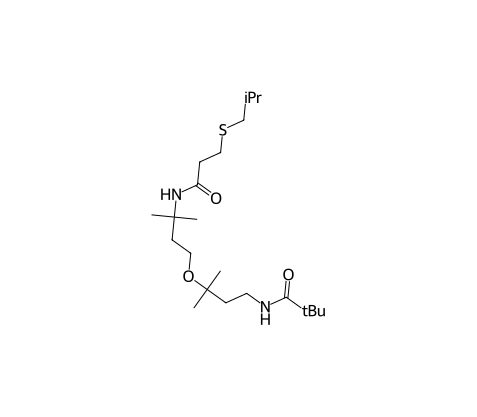 CC(C)CSCCC(=O)NC(C)(C)CCOC(C)(C)CCNC(=O)C(C)(C)C